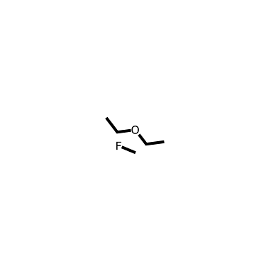 CCOCC.CF